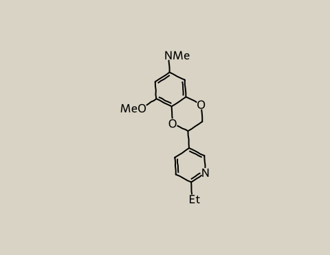 CCc1ccc(C2COc3cc(NC)cc(OC)c3O2)cn1